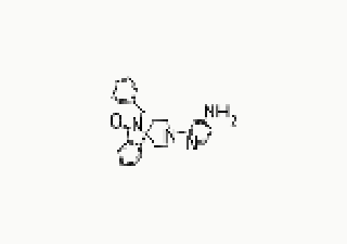 Nc1ccnc(N2CCC3(CC2)c2ccccc2C(=O)N3Cc2ccccc2)c1